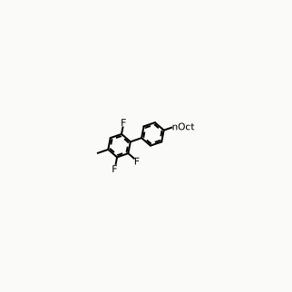 CCCCCCCCc1ccc(-c2c(F)cc(C)c(F)c2F)cc1